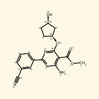 COC(=O)c1c(N)nc(-c2cccc(C#N)c2)nc1O[C@H]1CC[C@@H](O)C1